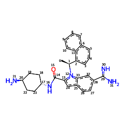 C[C@@H](c1cccc2ccccc12)n1c(C(=O)N[C@H]2CC[C@H](N)CC2)cc2ccc(C(=N)N)cc21